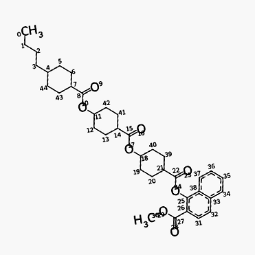 CCCCC1CCC(C(=O)OC2CCC(C(=O)OC3CCC(C(=O)Oc4c(C(=O)OC)ccc5ccccc45)CC3)CC2)CC1